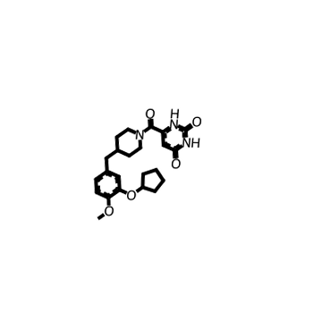 COc1ccc(CC2CCN(C(=O)c3cc(=O)[nH]c(=O)[nH]3)CC2)cc1OC1CCCC1